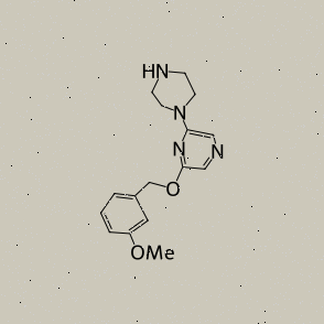 COc1cccc(COc2cncc(N3CCNCC3)n2)c1